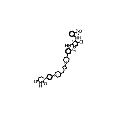 COc1cc(C2CCN(C3CN(CC4CCN(c5ccc(N6CCC(=O)NC6=O)cc5)CC4)C3)CC2)ccc1Nc1ncc(Cl)c(Nc2ccccc2P(C)(C)=O)n1